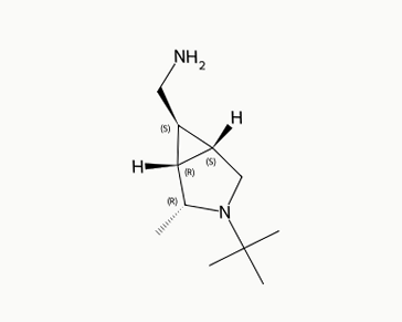 C[C@@H]1[C@@H]2[C@@H](CN)[C@@H]2CN1C(C)(C)C